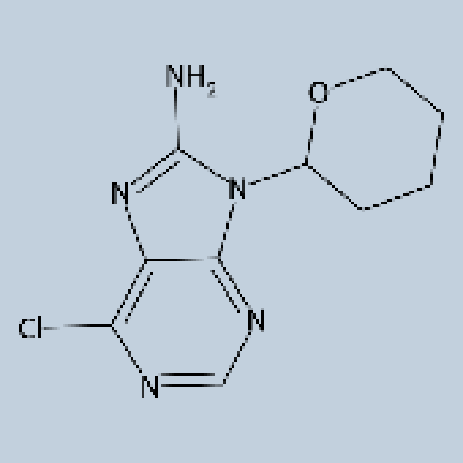 Nc1nc2c(Cl)ncnc2n1C1CCCCO1